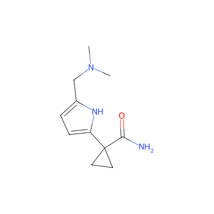 CN(C)Cc1ccc(C2(C(N)=O)CC2)[nH]1